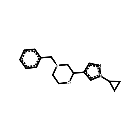 c1ccc(CN2CCOC(c3cnn(C4CC4)c3)C2)cc1